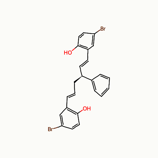 Oc1ccc(Br)cc1/C=C/C[C@@H](/C=C/c1cc(Br)ccc1O)c1ccccc1